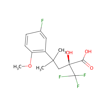 COc1ccc(F)cc1C(C)(C)C[C@](O)(C(=O)O)C(F)(F)F